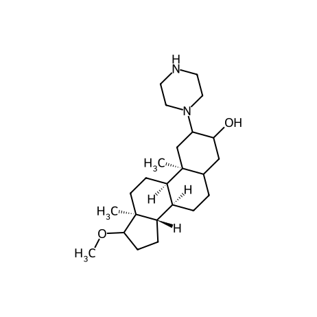 COC1CC[C@H]2[C@@H]3CCC4CC(O)C(N5CCNCC5)C[C@]4(C)[C@@H]3CC[C@]12C